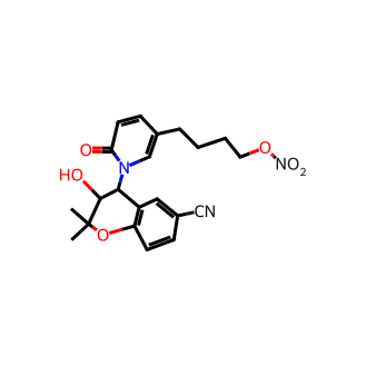 CC1(C)Oc2ccc(C#N)cc2C(n2cc(CCCCO[N+](=O)[O-])ccc2=O)C1O